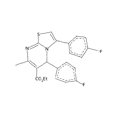 CCOC(=O)C1=C(C)N=C2SC=C(c3ccc(F)cc3)N2C1c1ccc(F)cc1